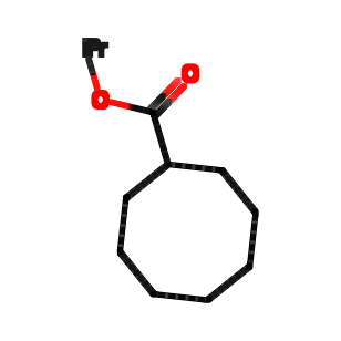 CC(C)OC(=O)C1CCCCCCC1